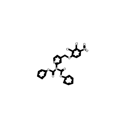 O=C(Oc1ccccc1)N(C(=O)Oc1ccccc1)c1cc(COc2ccc([N+](=O)[O-])c(Cl)c2Cl)ccn1